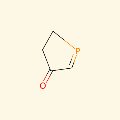 O=C1C=PCC1